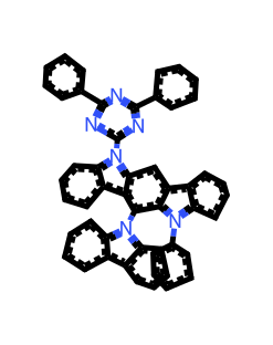 c1ccc(-c2nc(-c3ccccc3)nc(-n3c4ccccc4c4c(-n5c6ccccc6c6ccccc65)c5c(cc43)c3ccccc3n5-c3ccccc3)n2)cc1